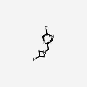 FC1CN(Cc2cnc(Cl)cn2)C1